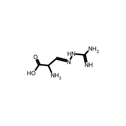 N=C(N)NN=CC(N)C(=O)O